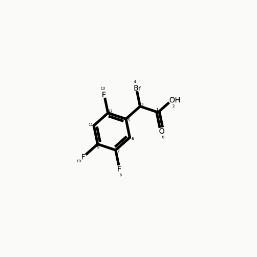 O=C(O)C(Br)c1cc(F)c(F)cc1F